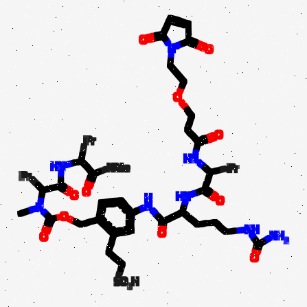 CNC(=O)C(NC(=O)C(C(C)C)N(C)C(=O)OCc1ccc(NC(=O)C(CCCNC(N)=O)NC(=O)C(NC(=O)CCOCCN2C(=O)C=CC2=O)C(C)C)cc1CCS(=O)(=O)O)C(C)C